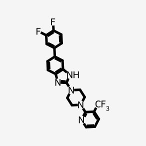 Fc1ccc(-c2ccc3nc(N4CCN(c5ncccc5C(F)(F)F)CC4)[nH]c3c2)cc1F